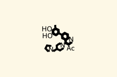 CC(=O)c1cnc2ccc(-c3cc(C)c(O)c(O)c3)cc2c1N1CCC(CN2CCCC2)CC1